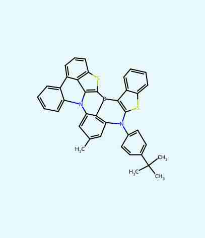 Cc1cc2c3c(c1)N1c4ccccc4-c4cccc5sc(c1c45)B3c1c(sc3ccccc13)N2c1ccc(C(C)(C)C)cc1